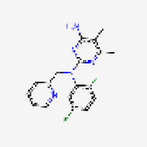 Cc1nc(N(Cc2ccccn2)c2cc(F)ccc2F)nc(N)c1C